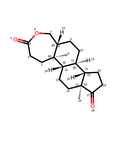 C[C@]12CCC(=O)OC[C@@H]1CC[C@@H]1[C@@H]2CC[C@]2(C)C(=O)CC[C@@H]12